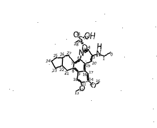 CCNc1cnc2c3c(c4cc(OC)c(OC)cc4c2c1)CC1CCCC1C3.CS(=O)(=O)O